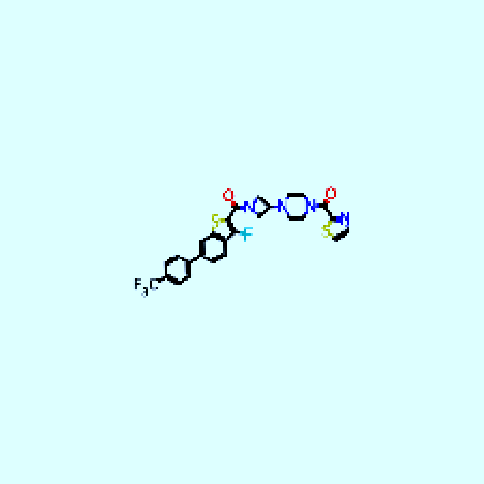 O=C(c1nccs1)N1CCN(C2CN(C(=O)c3sc4cc(-c5ccc(C(F)(F)F)cc5)ccc4c3F)C2)CC1